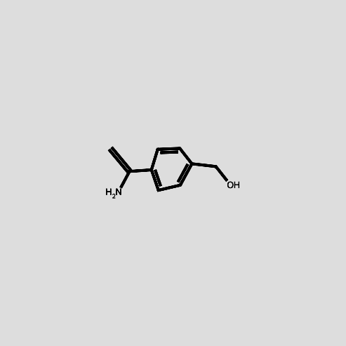 C=C(N)c1ccc(CO)cc1